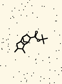 CC1CC2C3CC(C(=O)OC(C)(C)C)C(C3)C2C1C